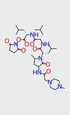 CC(C)C[C@H](NC(=O)[C@H](CC(C)C)N1C(=O)[C@@H](NC(=O)CN2CCN(C)CC2)CC1C)C(=O)N[C@@H](CC(C)C)C(=O)ON1C(=O)CCC1=O